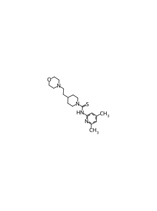 Cc1cc(C)nc(NC(=S)N2CCC(CCN3CCOCC3)CC2)c1